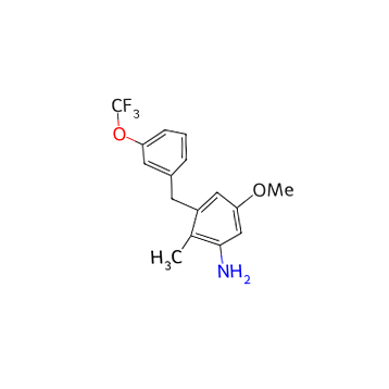 COc1cc(N)c(C)c(Cc2cccc(OC(F)(F)F)c2)c1